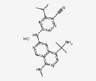 CNc1ncc(C(C)(C)N)c2cc(Nc3cnc(C#N)c(C(C)C)n3)ncc12.Cl